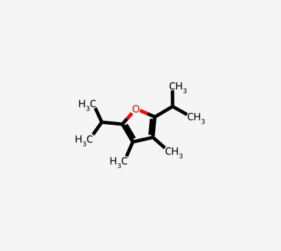 Cc1c(C(C)C)oc(C(C)C)c1C